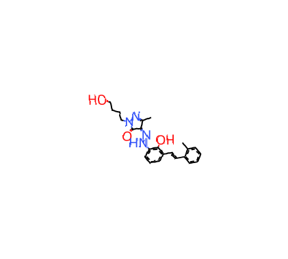 CC1=NN(CCCCO)C(=O)C1=NNc1cccc(C=Cc2ccccc2C)c1O